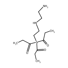 CCC(=O)[Si](CCNCCN)(C(=O)CC)C(=O)CC